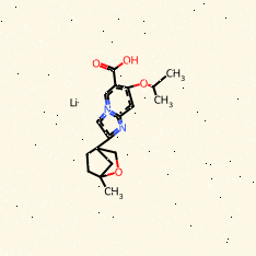 CC(C)Oc1cc2nc(C34CCC(C)(C3)OC4)cn2cc1C(=O)O.[Li]